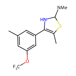 CNC1NC(c2cc(C)cc(OC(F)(F)F)c2)=C(C)S1